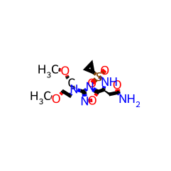 COCCN(CCOC)c1noc([C@H](CC(N)=O)NS(=O)(=O)C2CC2)n1